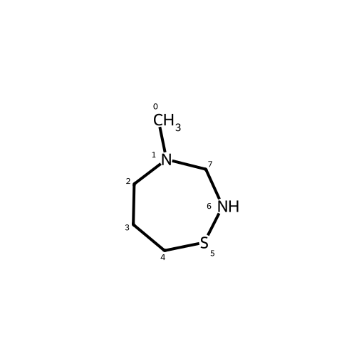 CN1CCCSNC1